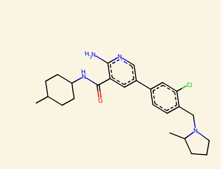 CC1CCC(NC(=O)c2cc(-c3ccc(CN4CCCC4C)c(Cl)c3)cnc2N)CC1